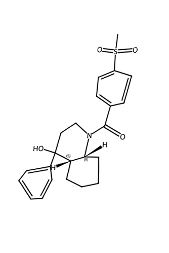 CS(=O)(=O)c1ccc(C(=O)N2CCC(O)(c3ccccc3)[C@H]3CCCC[C@H]32)cc1